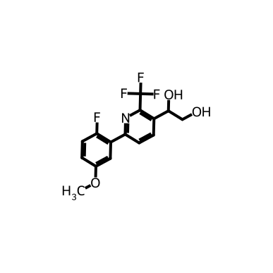 COc1ccc(F)c(-c2ccc(C(O)CO)c(C(F)(F)F)n2)c1